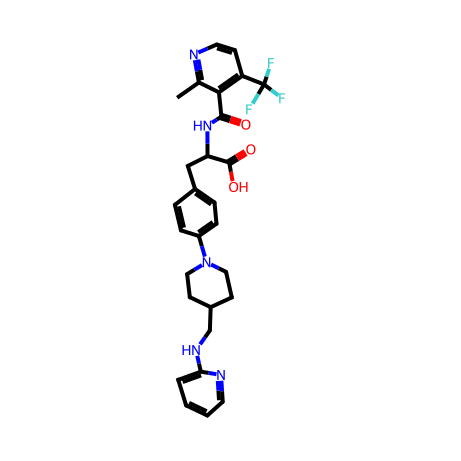 Cc1nccc(C(F)(F)F)c1C(=O)NC(Cc1ccc(N2CCC(CNc3ccccn3)CC2)cc1)C(=O)O